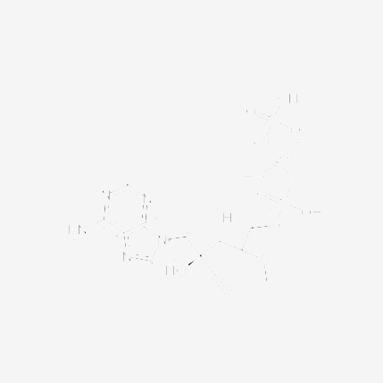 C#C[C@](O)(Cn1cnc2c(N)ncnc21)[C@H](O)[C@@](C)(COP(=O)(O)OP(=O)(O)OP(=O)(O)O)OC